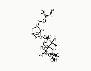 C=CC(=O)OCC1CC2CC(C(=O)OC(CS(=O)(=O)O)(C(F)(F)F)C(F)(F)F)C1C2